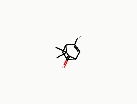 CC(C)C1=CC2CCC1C(C)(C)C2=O